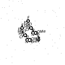 COc1cc2c(Oc3ccc(NC(=O)Nc4ccc(F)cc4F)c(Cl)c3)ccnc2cc1O.COc1cc2c(Oc3ccc(NC(=O)Nc4ccc(F)cc4F)c(Cl)c3)ccnc2cc1OCCn1ccnn1